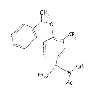 CC(=O)N(O)C(C)c1ccc(OC(C)c2ccccc2)c(C(F)(F)F)c1